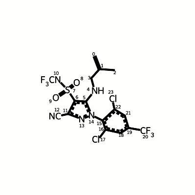 C=C(C)CNc1c(S(=O)(=O)NC(F)(F)F)c(C#N)nn1-c1c(Cl)cc(C(F)(F)F)cc1Cl